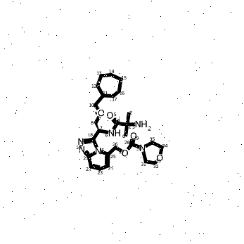 CC(C)(N)C(=O)N[C@H](COCC1CCCCCC1)c1nnc2cccc(COC(=O)N3CCOCC3)n12